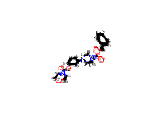 O=C(OCc1ccccc1)N1CCN(c2cccc(OC(=O)N3CCOCC3)c2)CC1